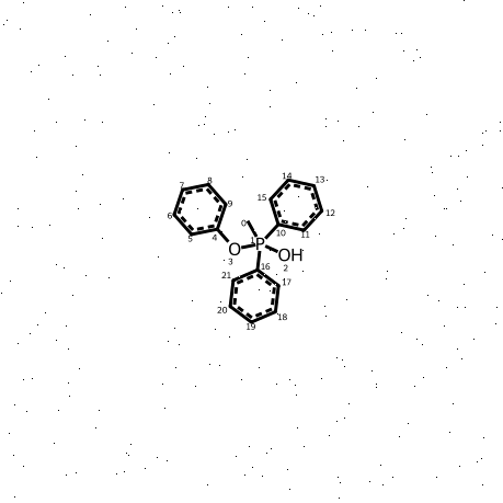 CP(O)(Oc1ccccc1)(c1ccccc1)c1ccccc1